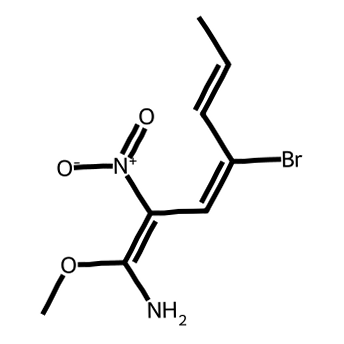 C/C=C/C(Br)=C\C(=C(/N)OC)[N+](=O)[O-]